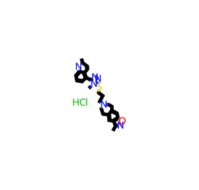 Cc1ccc2c(-c3nnc(SCCCN4CCc5cc6onc(C)c6cc5CC4)n3C)cccc2n1.Cl